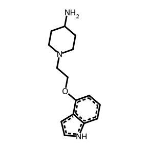 NC1CCN(CCOc2cccc3[nH]ccc23)CC1